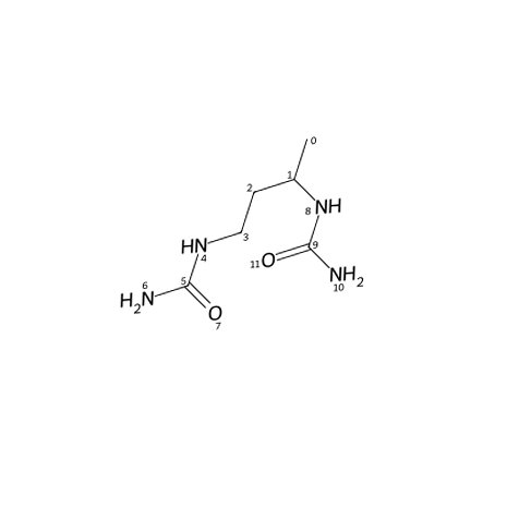 CC(CCNC(N)=O)NC(N)=O